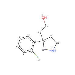 OCCC1(c2ccccc2F)CCNC1